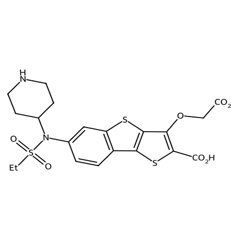 CCS(=O)(=O)N(c1ccc2c(c1)sc1c(OCC(=O)O)c(C(=O)O)sc12)C1CCNCC1